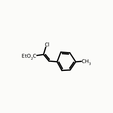 CCOC(=O)C(Cl)=Cc1ccc(C)cc1